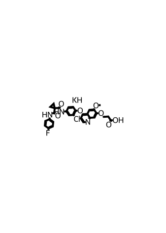 COc1cc2c(Oc3ccc(NC(=O)C4(C(=O)Nc5ccc(F)cc5)CC4)cc3Cl)ccnc2cc1OCCC(=O)O.[KH]